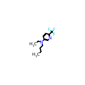 CCCCN(CC)c1ccc(C(F)(F)F)nc1